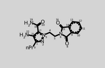 CCCc1nn(CCN2C(=O)c3ccccc3C2=O)c(C(N)=O)c1N